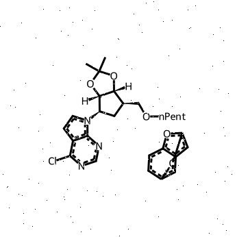 CCCCCOC[C@H]1C[C@@H](n2ccc3c(Cl)ncnc32)[C@@H]2OC(C)(C)O[C@H]12.c1cc2oc3cc2cc1O3